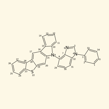 c1ccc(-n2cnc3c(-n4c5ccccc5c5cc6c(cc54)sc4ccccc46)cccc32)cc1